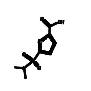 CN(C)S(=O)(=O)c1ccc(C(=O)O)s1